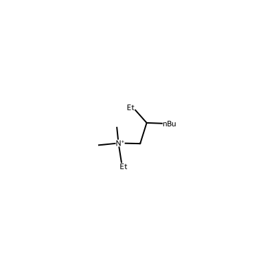 CCCCC(CC)C[N+](C)(C)CC